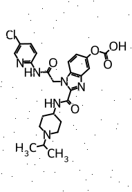 CC(C)N1CCC(NC(=O)c2nc3cc(OC(=O)O)ccc3n2CC(=O)Nc2ccc(Cl)cn2)CC1